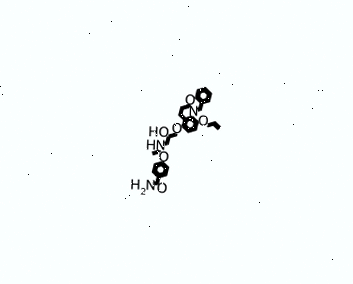 C=CCOc1ccc(OCC(O)CNC(C)Oc2ccc(C(N)=O)cc2)c2c1N(Cc1ccccc1)C(=O)CC2